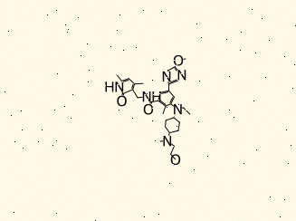 CCN(c1cc(-c2cnc(OC)cn2)cc(C(=O)NCc2c(C)cc(C)[nH]c2=O)c1C)[C@H]1CC[C@H](N(C)CCOC)CC1